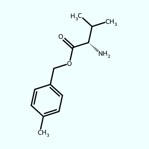 Cc1ccc(COC(=O)[C@@H](N)C(C)C)cc1